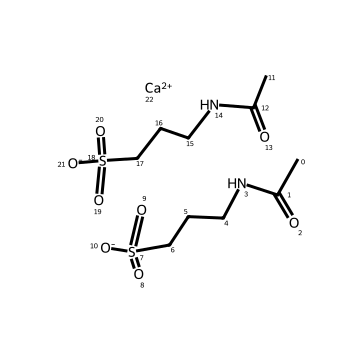 CC(=O)NCCCS(=O)(=O)[O-].CC(=O)NCCCS(=O)(=O)[O-].[Ca+2]